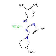 CCCc1cc(N2CCCC(NC)C2)nc(Nc2ccc(C)c(C)c2)n1.Cl.Cl